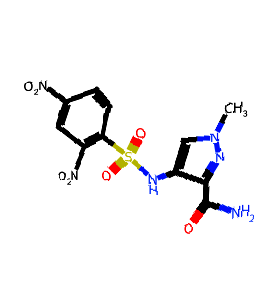 Cn1cc(NS(=O)(=O)c2ccc([N+](=O)[O-])cc2[N+](=O)[O-])c(C(N)=O)n1